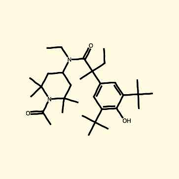 CCN(C(=O)C(C)(CC)c1cc(C(C)(C)C)c(O)c(C(C)(C)C)c1)C1CC(C)(C)N(C(C)=O)C(C)(C)C1